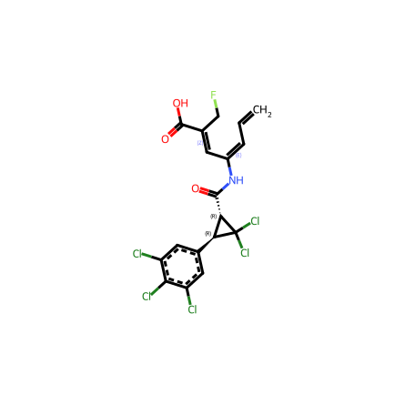 C=C/C=C(\C=C(/CF)C(=O)O)NC(=O)[C@H]1[C@H](c2cc(Cl)c(Cl)c(Cl)c2)C1(Cl)Cl